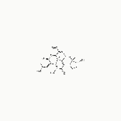 COCC1OC(=O)C(=CN(C)C(C)(C)C)C2=C(O)C(=O)C3=C(C(OC(C)=O)CC4(C)C(O)CCC34)C21C